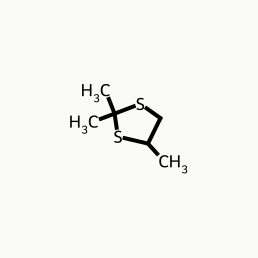 CC1CSC(C)(C)S1